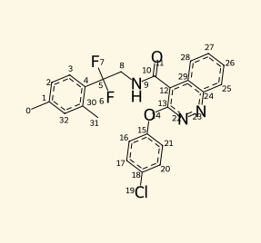 Cc1ccc(C(F)(F)CNC(=O)c2c(Oc3ccc(Cl)cc3)nnc3ccccc23)c(C)c1